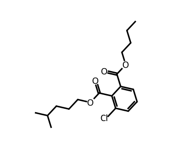 CCCCOC(=O)c1cccc(Cl)c1C(=O)OCCCC(C)C